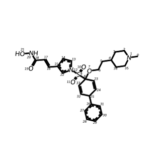 CN1CCC(CCOC2(S(=O)(=O)n3ccc(/C=C/C(=O)NO)c3)C=CC(c3ccccc3)C=C2)CC1